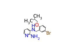 CC(C)COc1ccc(Br)cc1CNc1cccnc1N